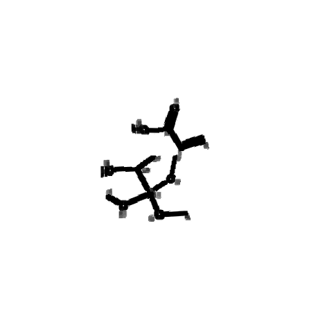 C=CC(=O)O.CO[Si](OC)(OC)C(C)O